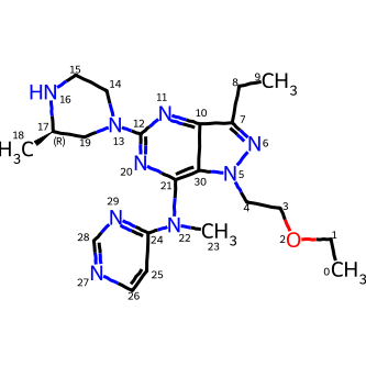 CCOCCn1nc(CC)c2nc(N3CCN[C@H](C)C3)nc(N(C)c3ccncn3)c21